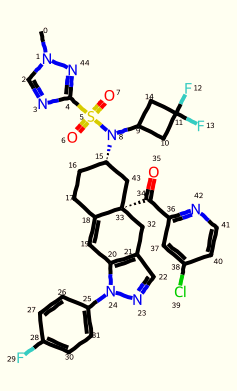 Cn1cnc(S(=O)(=O)N(C2CC(F)(F)C2)[C@H]2CCC3=Cc4c(cnn4-c4ccc(F)cc4)C[C@]3(C(=O)c3cc(Cl)ccn3)C2)n1